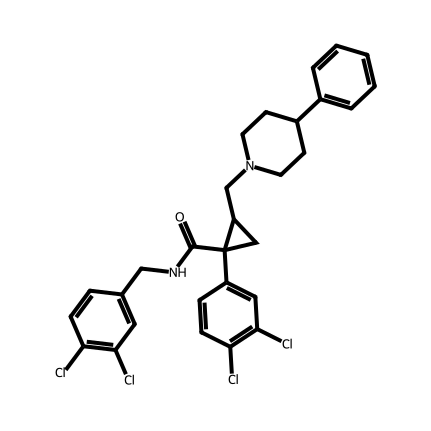 O=C(NCc1ccc(Cl)c(Cl)c1)C1(c2ccc(Cl)c(Cl)c2)CC1CN1CCC(c2ccccc2)CC1